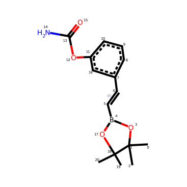 CC1(C)OB(/C=C/c2cccc(OC(N)=O)c2)OC1(C)C